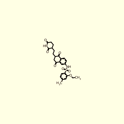 CCOc1cc(C)ccc1S(=O)(=O)Nc1ccc2c(c1)C(=O)CC(CCC1CCC(=O)NC1=O)C2=O